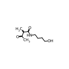 C=C(C(C)=O)C(=O)NCCCCO